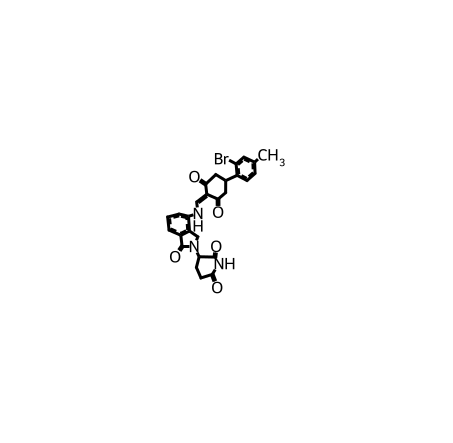 Cc1ccc(C2CC(=O)C(=CNc3cccc4c3CN(C3CCC(=O)NC3=O)C4=O)C(=O)C2)c(Br)c1